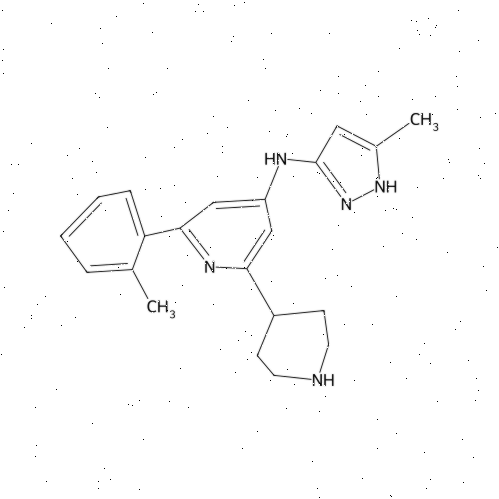 Cc1cc(Nc2cc(-c3ccccc3C)nc(C3CCNCC3)c2)n[nH]1